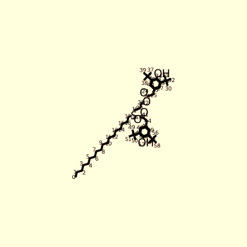 CCCCCCCCCCCCCCCCCCSCC(COC(=O)Cc1cc(C(C)(C)C)c(O)c(C(C)(C)C)c1)OC(=O)Cc1cc(C(C)(C)C)c(O)c(C(C)(C)C)c1